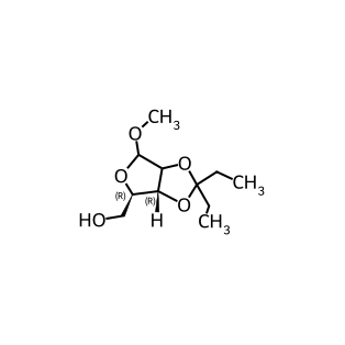 CCC1(CC)OC2C(OC)O[C@H](CO)[C@H]2O1